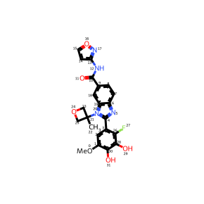 COc1cc(-c2nc3ccc(C(=O)Nc4ccon4)cc3n2C2(C)COC2)c(F)c(O)c1O